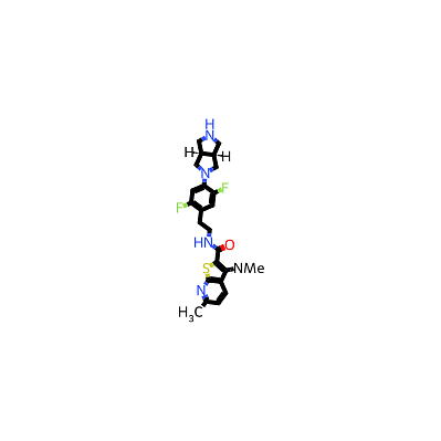 CNc1c(C(=O)NCCc2cc(F)c(N3C[C@H]4CNC[C@H]4C3)cc2F)sc2nc(C)ccc12